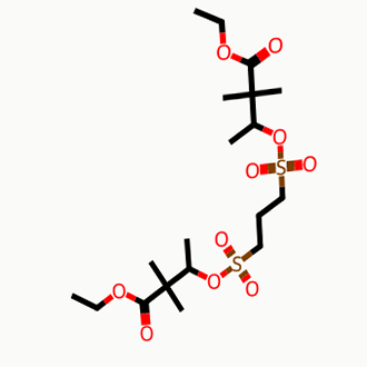 CCOC(=O)C(C)(C)C(C)OS(=O)(=O)CCCS(=O)(=O)OC(C)C(C)(C)C(=O)OCC